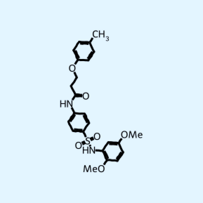 COc1ccc(OC)c(NS(=O)(=O)c2ccc(NC(=O)CCOc3ccc(C)cc3)cc2)c1